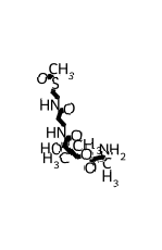 CC(=O)SCCNC(=O)CCNC(=O)[C@H](O)C(C)(C)COC(=O)[C@H](C)N